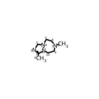 CC1=NCN2CCN(C)CCN12